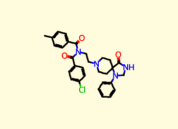 Cc1ccc(C(=O)N(CCN2CCC3(CC2)C(=O)NCN3c2ccccc2)C(=O)c2ccc(Cl)cc2)cc1